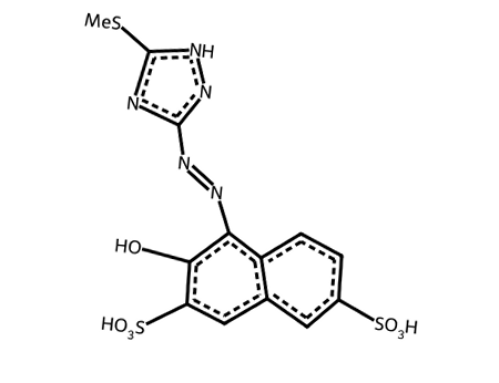 CSc1nc(/N=N/c2c(O)c(S(=O)(=O)O)cc3cc(S(=O)(=O)O)ccc23)n[nH]1